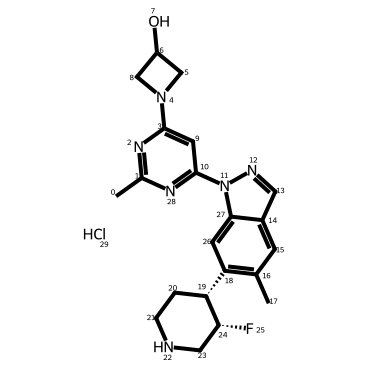 Cc1nc(N2CC(O)C2)cc(-n2ncc3cc(C)c([C@H]4CCNC[C@H]4F)cc32)n1.Cl